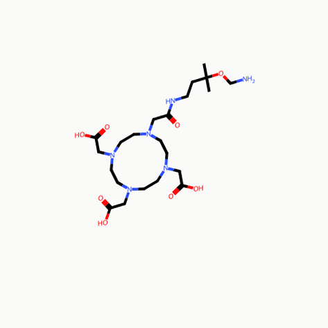 CC(C)(CCNC(=O)CN1CCN(CC(=O)O)CCN(CC(=O)O)CCN(CC(=O)O)CC1)OCN